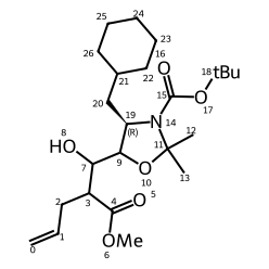 C=CCC(C(=O)OC)C(O)C1OC(C)(C)N(C(=O)OC(C)(C)C)[C@@H]1CC1CCCCC1